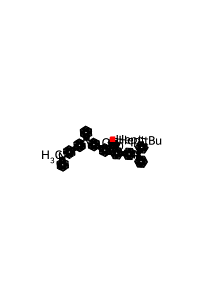 CCCCCCCC(=O)C1(C(=O)CCCCCCC)c2cc(-c3ccc(N(c4ccccc4)c4ccc(-c5ccc(N(C)c6ccccc6)cc5)cc4)cc3)ccc2-c2ccc(-c3ccc(N(c4ccccc4)c4ccc(C(C)(C)C)cc4)cc3)cc21